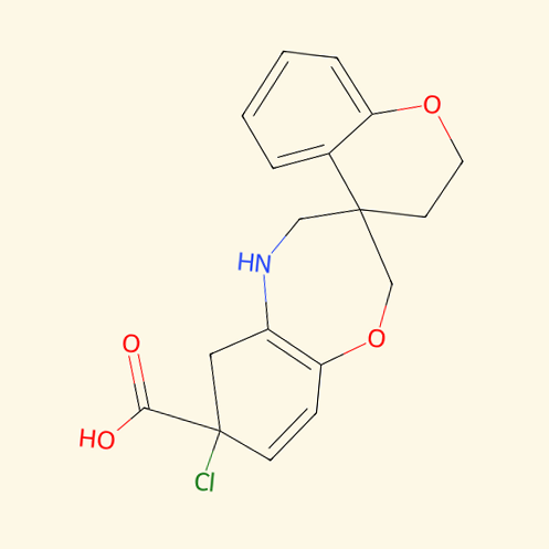 O=C(O)C1(Cl)C=CC2=C(C1)NCC1(CCOc3ccccc31)CO2